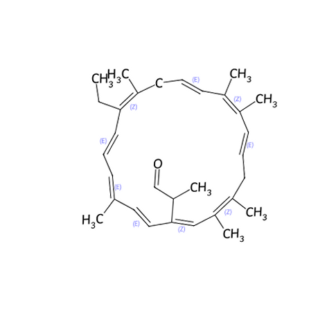 CCC1=C(/C)C/C=C/C(C)=C(C)\C=C\C\C(C)=C(C)/C=C(C(C)C=O)/C=C/C(C)=C/C=C/1